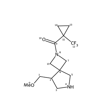 COCC1CNCC12CN(C(=O)C1(C(F)(F)F)CC1)C2